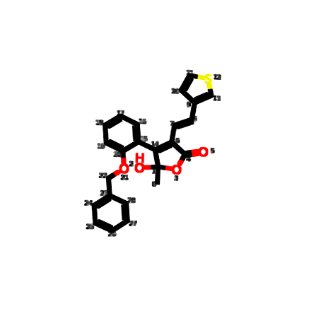 CC1(O)OC(=O)C(C=Cc2ccsc2)=C1c1ccccc1OCc1ccccc1